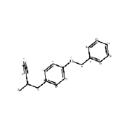 CC(C#N)Cc1ccc(OCc2ccccc2)cc1